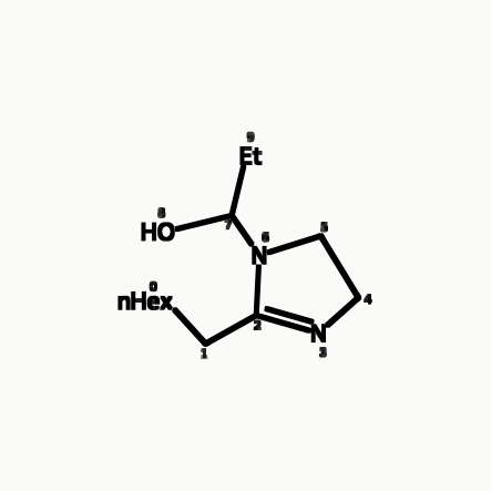 CCCCCCCC1=NCCN1C(O)CC